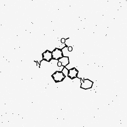 COC(=O)c1cc2ccc(N(C)C)cc2c2c1CCC(c1ccccc1)(c1ccc(N3CCCCC3)cc1)O2